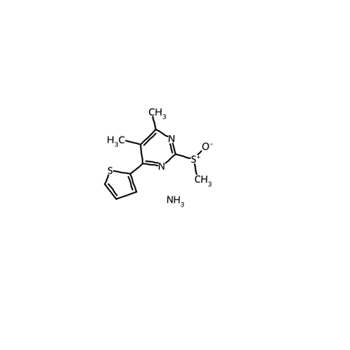 Cc1nc([S+](C)[O-])nc(-c2cccs2)c1C.N